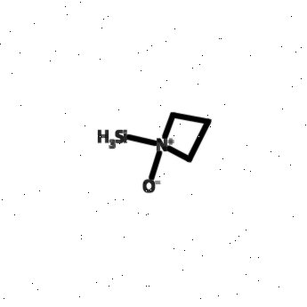 [O-][N+]1([SiH3])CCC1